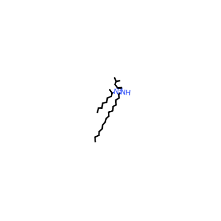 CCCCCCCCCCCCCCCc1[nH]cc(CC(C)C)[n+]1C(C)CCCCCCC